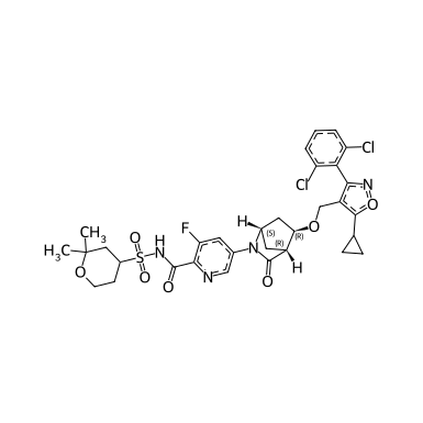 CC1(C)CC(S(=O)(=O)NC(=O)c2ncc(N3C(=O)[C@@H]4C[C@H]3C[C@H]4OCc3c(-c4c(Cl)cccc4Cl)noc3C3CC3)cc2F)CCO1